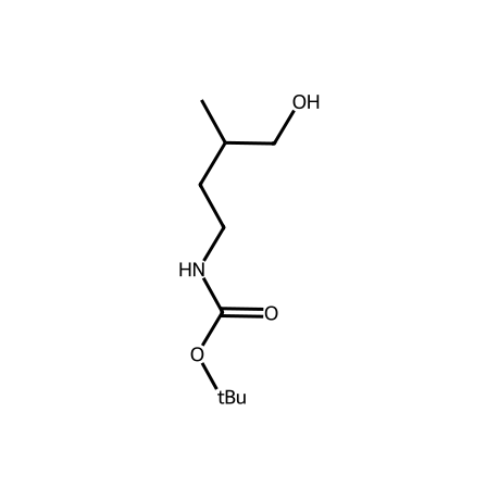 CC(CO)CCNC(=O)OC(C)(C)C